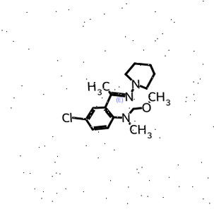 COCN(C)c1ccc(Cl)cc1/C(C)=N/N1CCCCC1